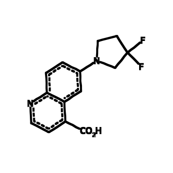 O=C(O)c1ccnc2ccc(N3CCC(F)(F)C3)cc12